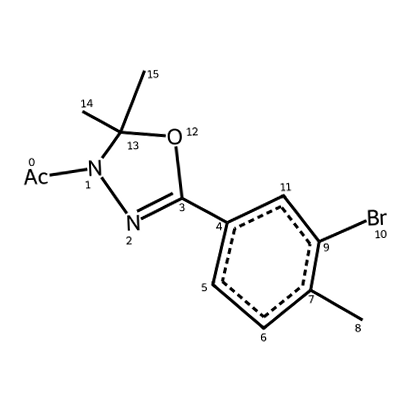 CC(=O)N1N=C(c2ccc(C)c(Br)c2)OC1(C)C